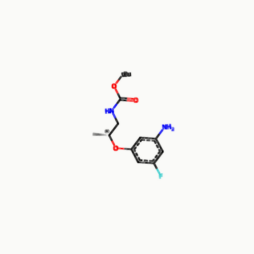 C[C@H](CNC(=O)OC(C)(C)C)Oc1cc(N)cc(F)c1